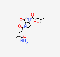 CC(C)CC(O)C(=O)N1CC(=O)C2C1CCN2C(=O)[CH]CC(C)C(N)=O